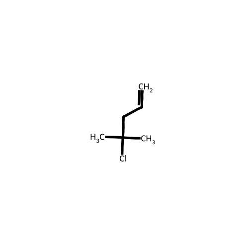 C=CCC(C)(C)Cl